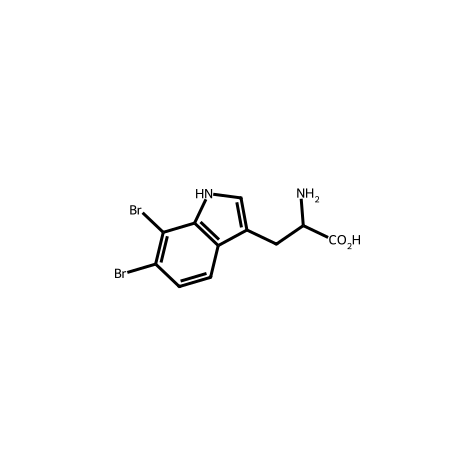 NC(Cc1c[nH]c2c(Br)c(Br)ccc12)C(=O)O